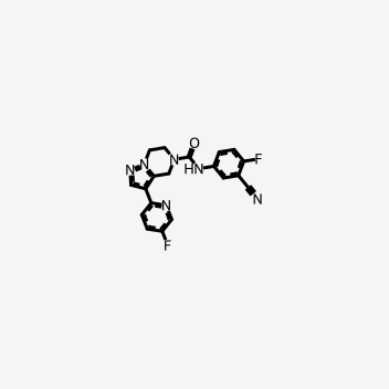 N#Cc1cc(NC(=O)N2CCn3ncc(-c4ccc(F)cn4)c3C2)ccc1F